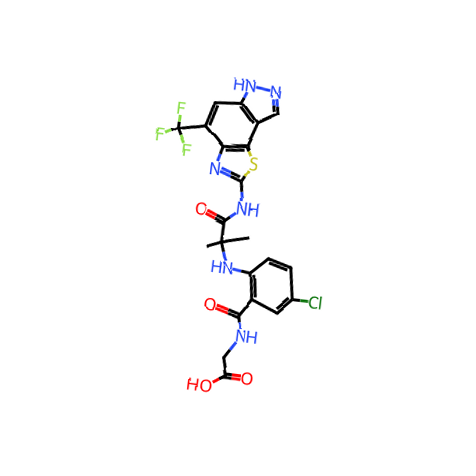 CC(C)(Nc1ccc(Cl)cc1C(=O)NCC(=O)O)C(=O)Nc1nc2c(C(F)(F)F)cc3[nH]ncc3c2s1